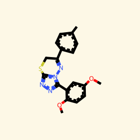 COc1ccc(OC)c(-c2nnc3n2N=C(c2ccc(C)cc2)CS3)c1